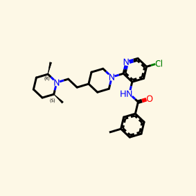 Cc1cccc(C(=O)Nc2cc(Cl)cnc2N2CCC(CCN3[C@H](C)CCC[C@@H]3C)CC2)c1